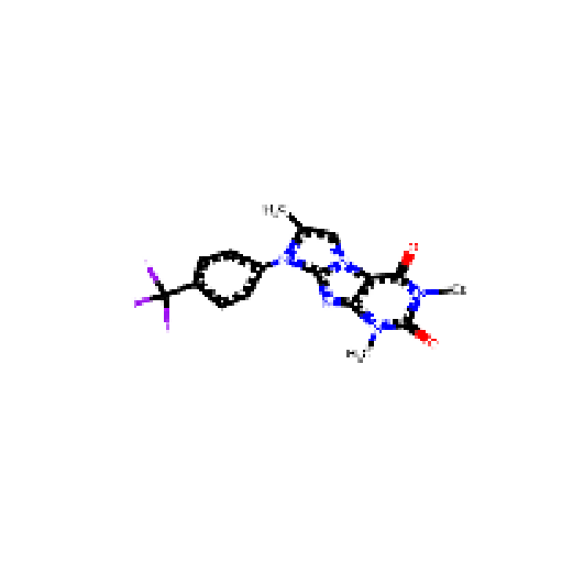 CCn1c(=O)c2c(nc3n(-c4ccc(C(I)(I)I)cc4)c(C)cn23)n(C)c1=O